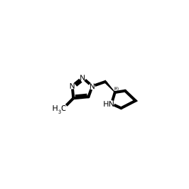 Cc1cn(C[C@H]2CCCN2)nn1